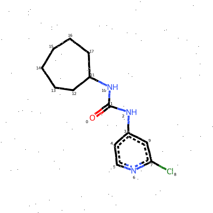 O=C(Nc1ccnc(Cl)c1)NC1CCCCCC1